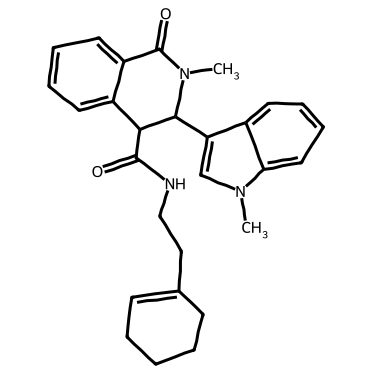 CN1C(=O)c2ccccc2C(C(=O)NCCC2=CCCCC2)C1c1cn(C)c2ccccc12